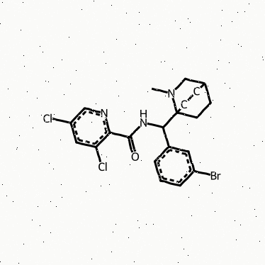 CN1CC2CCC1(C(NC(=O)c1ncc(Cl)cc1Cl)c1cccc(Br)c1)CC2